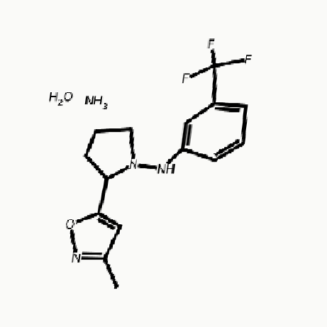 Cc1cc(C2CCCN2Nc2cccc(C(F)(F)F)c2)on1.N.O